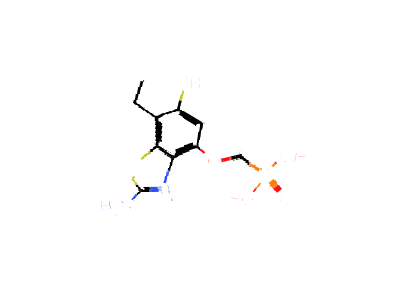 CCc1c(S)cc(OCP(=O)(O)O)c2nc(N)sc12